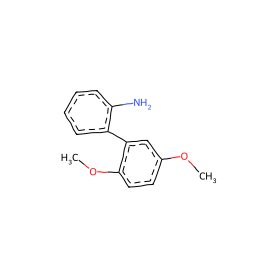 COc1ccc(OC)c(-c2ccccc2N)c1